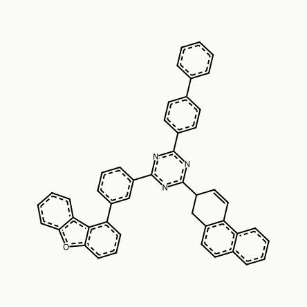 C1=CC(c2nc(-c3ccc(-c4ccccc4)cc3)nc(-c3cccc(-c4cccc5oc6ccccc6c45)c3)n2)Cc2ccc3ccccc3c21